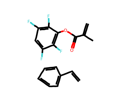 C=C(C)C(=O)Oc1c(F)c(F)cc(F)c1F.C=Cc1ccccc1